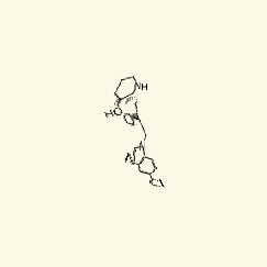 O=C(C[C@H]1NCCC[C@@H]1O)Cn1cnc2cc(Cl)ccc21